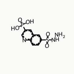 NNS(=O)(=O)c1ccc2ncc(P(=O)(O)O)cc2c1